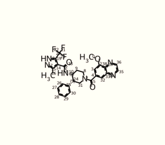 COc1cc(C(=O)N2CC[C@@H](NC(=O)c3c(C)n[nH]c3C(F)(F)F)[C@@H](c3ccccc3)C2)cc2nccnc12